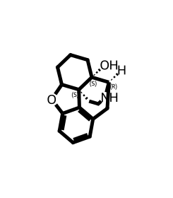 O[C@@]12CCCC3Oc4cccc5c4[C@@]31CCN[C@@H]2C5